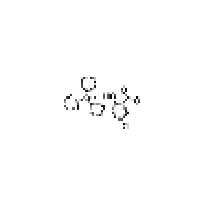 O=C([O-])c1cc(Cl)ccc1O.c1cc[c]([Sn+]([c]2ccccc2)[c]2ccccc2)cc1